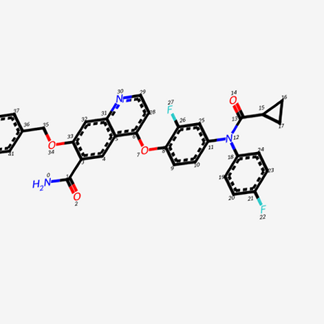 NC(=O)c1cc2c(Oc3ccc(N(C(=O)C4CC4)c4ccc(F)cc4)cc3F)ccnc2cc1OCc1ccccc1